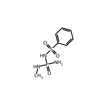 CNP(N)(=O)NS(=O)(=O)c1ccccc1